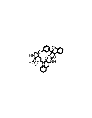 CC(C)(c1cccc(Cl)c1)C(OC(=O)N[C@@H](CC1CCCCC1)C(=O)N[C@@H](CC1CCNC1=O)C(=O)O)c1ccccc1Cl